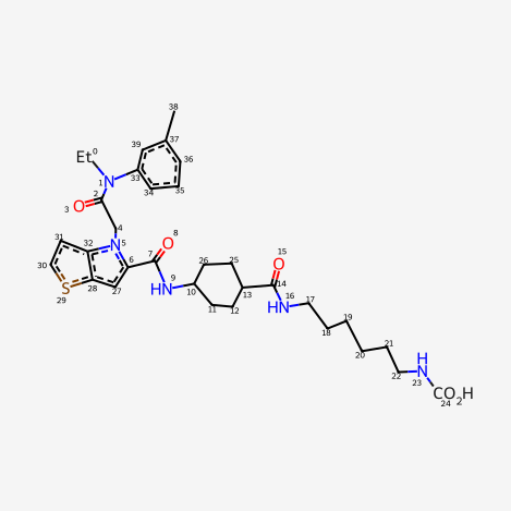 CCN(C(=O)Cn1c(C(=O)NC2CCC(C(=O)NCCCCCCNC(=O)O)CC2)cc2sccc21)c1cccc(C)c1